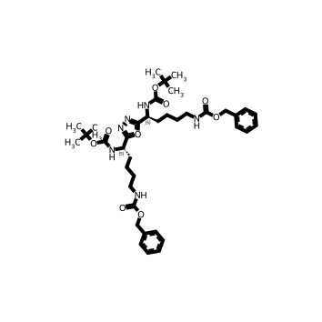 CC(C)(C)OC(=O)N[C@@H](CCCCNC(=O)OCc1ccccc1)c1nnc([C@H](CCCCNC(=O)OCc2ccccc2)NC(=O)OC(C)(C)C)o1